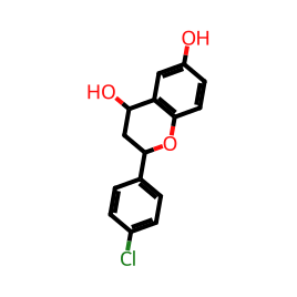 Oc1ccc2c(c1)C(O)CC(c1ccc(Cl)cc1)O2